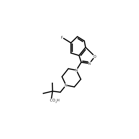 CC(C)(CN1CCN(c2noc3ccc(F)cc23)CC1)C(=O)O